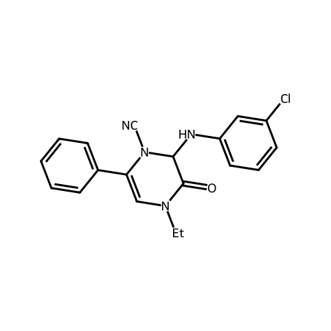 CCN1C=C(c2ccccc2)N(C#N)C(Nc2cccc(Cl)c2)C1=O